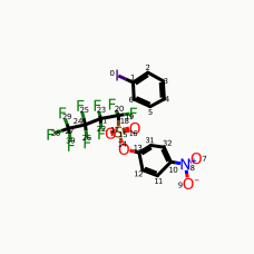 Ic1ccccc1.O=[N+]([O-])c1ccc(OS(=O)(=O)C(F)(F)C(F)(F)C(F)(F)C(F)(F)F)cc1